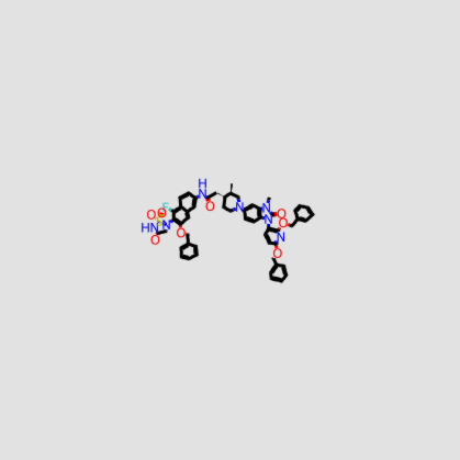 C[C@H]1CN(c2ccc3c(c2)n(C)c(=O)n3-c2ccc(OCc3ccccc3)nc2OCc2ccccc2)CC[C@@H]1CC(=O)Nc1ccc2c(F)c(N3CC(=O)NS3(=O)=O)c(OCc3ccccc3)cc2c1